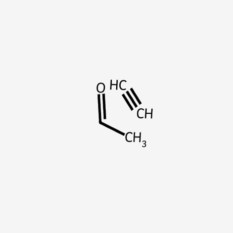 C#C.CC=O